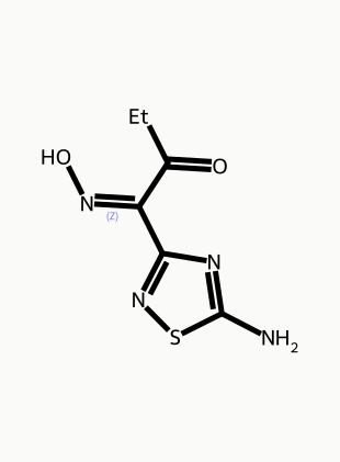 CCC(=O)/C(=N\O)c1nsc(N)n1